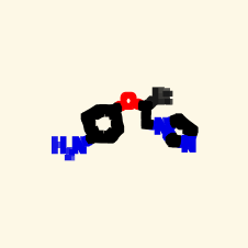 CCC(Cn1ccnc1)Oc1ccc(N)cc1